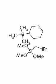 CO[Si](CC(C)C)(OC)OC.C[Si](C)(C)C1CCCCC1